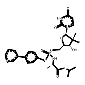 CC(C)OC(=O)[C@H](C)NP(=O)(OC[C@H]1O[C@@H](n2ccc(=O)[nH]c2=O)[C@](C)(F)[C@@H]1O)Oc1ccc(-c2cccnc2)cc1